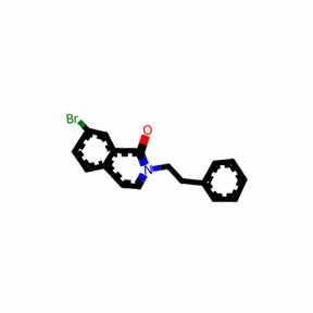 O=c1c2cc(Br)ccc2ccn1CCc1ccccc1